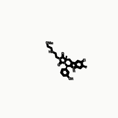 COCCNCCN1C(=O)N2[C@H](c3cccc(O)c3)c3[nH]c4cc(F)c(Cl)cc4c3C[C@@]2(C)C1=O